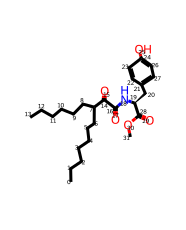 CCCCCCCC(CCCCCC)C(=O)C(=O)N[C@@H](Cc1ccc(O)cc1)C(=O)OC